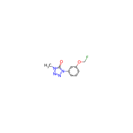 Cn1nnn(-c2cccc(OCF)c2)c1=O